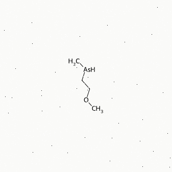 COCC[AsH]C